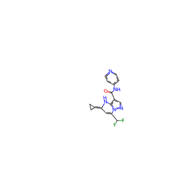 O=C(Nc1ccncc1)c1cnn2c1NC(=C1CC1)C=C2C(F)F